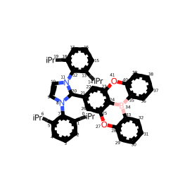 CC(C)c1cccc(C(C)C)c1N1C=CN(c2c(C(C)C)cccc2C(C)C)C1c1cc2c3c(c1)Oc1ccccc1B3c1ccccc1O2